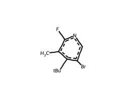 Cc1c(F)ncc(Br)c1C(C)(C)C